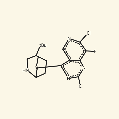 CC(C)(C)C12CCC(CN(c3nc(Cl)nc4c(F)c(Cl)ncc34)C1)NC2